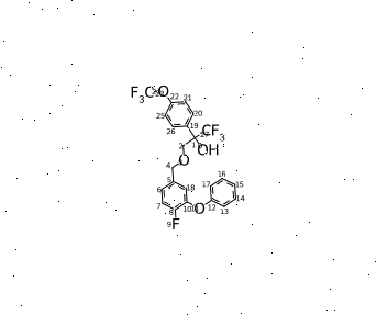 OC(COCc1ccc(F)c(Oc2ccccc2)c1)(c1ccc(OC(F)(F)F)cc1)C(F)(F)F